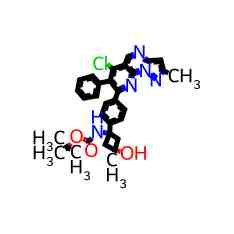 Cc1cc2ncc3c(Cl)c(-c4ccccc4)c(-c4ccc(C5(NC(=O)OC(C)(C)C)CC(C)(O)C5)cc4)nc3n2n1